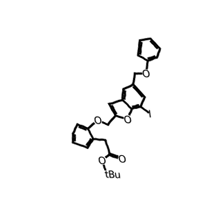 CC(C)(C)OC(=O)Cc1ccccc1OCc1cc2cc(COc3ccccc3)cc(I)c2o1